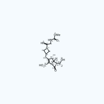 COC(=O)NCC(=N)N1CC(SC2=C(C(=O)O)N3C(=O)[C@H]([C@@H](C)O)[C@H]3[C@H]2C)C1